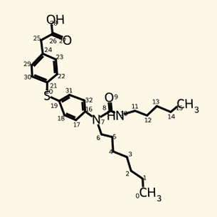 CCCCCCCN(C(=O)NCCCCC)c1ccc(Sc2ccc(CC(=O)O)cc2)cc1